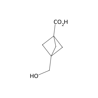 O=C(O)C12CC(CO)(C1)C2